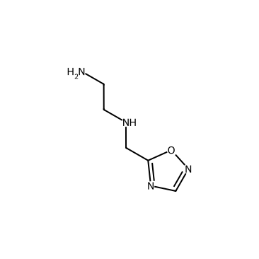 NCCNCc1ncno1